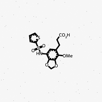 COc1c(CCC(=O)O)cc(NS(=O)(=O)c2cccs2)c2c1OCO2